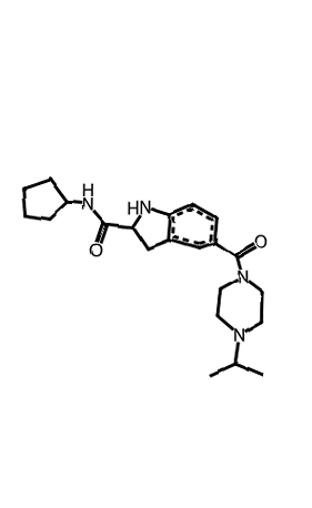 CC(C)N1CCN(C(=O)c2ccc3c(c2)CC(C(=O)NC2CCCC2)N3)CC1